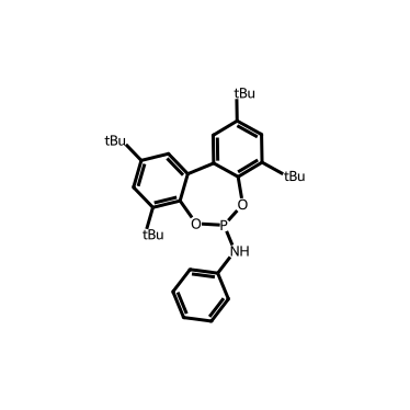 CC(C)(C)c1cc(C(C)(C)C)c2op(Nc3ccccc3)oc3c(C(C)(C)C)cc(C(C)(C)C)cc3c2c1